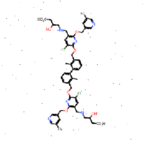 Cc1c(COc2nc(OCc3cncc(C#N)c3)c(CNCC(O)CC(=O)O)cc2Cl)cccc1-c1cccc(COc2nc(OCc3cncc(C#N)c3)c(CNCC(O)CC(=O)O)cc2Cl)c1C